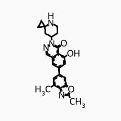 Cc1nc2c(C)cc(-c3cc(O)c4c(=O)n(C5CCNC6(CC6)C5)ncc4c3)cc2o1